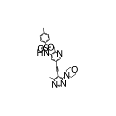 Cc1ccc(S(=O)(=O)Nc2cc(C#Cc3c(C)ncnc3N3CCOCC3)cnc2C)cc1